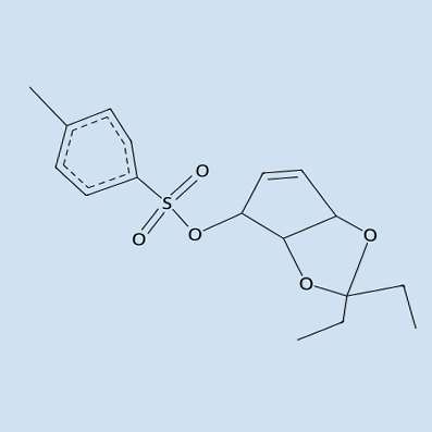 CCC1(CC)OC2C=CC(OS(=O)(=O)c3ccc(C)cc3)C2O1